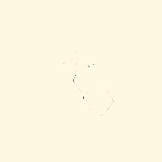 C[P+](C)(C)CC1OCCO1.[Br-]